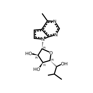 Cc1ncnc2c1ccn2[C@@H]1O[C@H](C(O)C(C)C)[C@@H](O)[C@H]1O